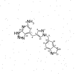 Nc1cc(Cc2cnn(Cc3ccc4ncsc4c3)c2)c2nn[nH]c2n1